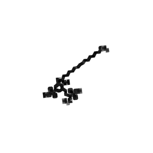 CCCCCCCCCCCCCCCc1nc2cc(S(=O)(=O)O)cc(CCC(C)S(=O)(=O)O)c2[nH]1